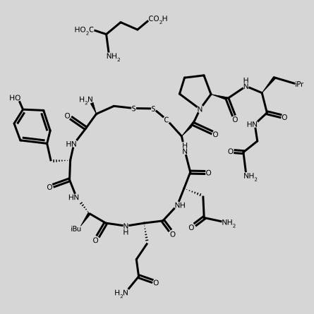 CC[C@H](C)[C@@H]1NC(=O)[C@H](Cc2ccc(O)cc2)NC(=O)[C@@H](N)CSSC[C@@H](C(=O)N2CCC[C@H]2C(=O)N[C@@H](CC(C)C)C(=O)NCC(N)=O)NC(=O)[C@H](CC(N)=O)NC(=O)[C@H](CCC(N)=O)NC1=O.NC(CCC(=O)O)C(=O)O